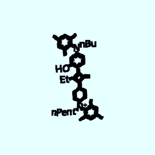 C=C1C(=C2C=CC(=[N+](CCCCC)c3c(C)cc(C)cc3C)C=C2)C(CC)=C1c1ccc(N(CCCC)c2c(C)cc(C)cc2C)cc1O